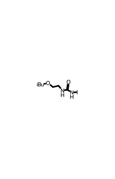 CCC(C)OCCNC(=O)NI